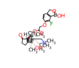 C[C@@H]1CC[C@@]23CCC(=O)[C@H]2[C@]1(C)[C@H](OC(=O)COc1ccc2c(c1F)B(O)OC2)C[C@@](C)(CN(C)C)[C@@H](O)[C@@H]3C